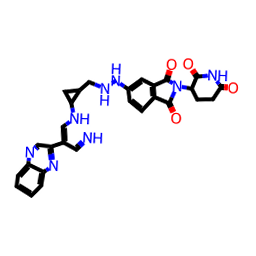 N=C/C(=C\NC1CC1CNNc1ccc2c(c1)C(=O)N(C1CCC(=O)NC1=O)C2=O)c1cnc2ccccc2n1